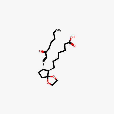 CCCCCC(=O)C=C[C@H]1CCC2(OCCO2)[C@@H]1CCCCCCC(=O)O